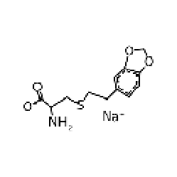 NC(CSCCc1ccc2c(c1)OCO2)C(=O)[O-].[Na+]